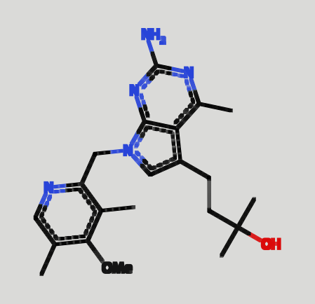 COc1c(C)cnc(Cn2cc(CCC(C)(C)O)c3c(C)nc(N)nc32)c1C